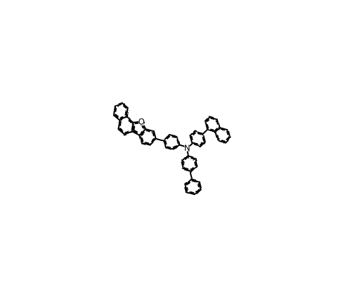 c1ccc(-c2ccc(N(c3ccc(-c4ccc5c(c4)oc4c6ccccc6ccc54)cc3)c3ccc(-c4cccc5ccccc45)cc3)cc2)cc1